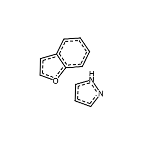 c1ccc2occc2c1.c1cn[nH]c1